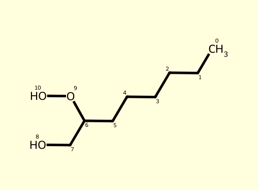 CCCCCCC(CO)OO